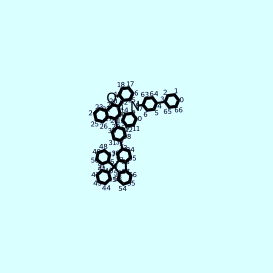 c1ccc(-c2ccc(N(c3ccccc3)c3cccc4oc5c6ccccc6c(-c6ccc(-c7ccc8c(c7)C(c7ccccc7)(c7ccccc7)c7ccccc7-8)cc6)cc5c34)cc2)cc1